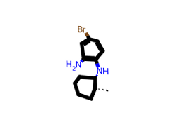 C[C@@H]1CCCC[C@@H]1Nc1ccc(Br)cc1N